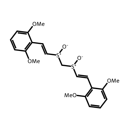 COc1cccc(OC)c1C=C[S+]([O-])C[S+]([O-])C=Cc1c(OC)cccc1OC